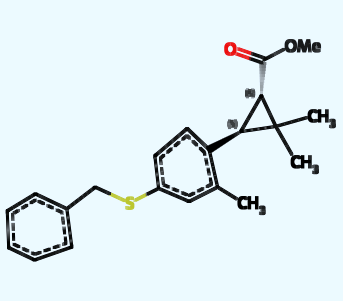 COC(=O)[C@H]1[C@H](c2ccc(SCc3ccccc3)cc2C)C1(C)C